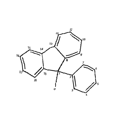 IC1(c2ccccc2)c2ccccc2-c2ccccc21